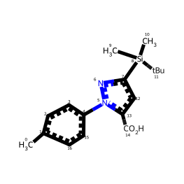 Cc1ccc(-n2nc([Si](C)(C)C(C)(C)C)cc2C(=O)O)cc1